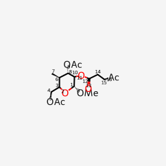 CO[C@@H]1OC(COC(C)=O)[C@@H](C)[C@H](OC(C)=O)C1OC(=O)CCC(C)=O